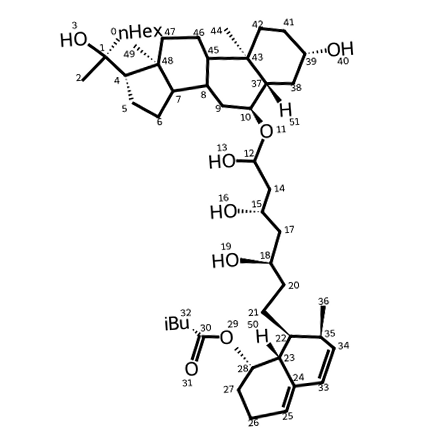 CCCCCC[C@](C)(O)[C@H]1CCC2C3C[C@H](OC(O)C[C@@H](O)C[C@H](O)CC[C@@H]4[C@@H]5C(=CCC[C@@H]5OC(=O)[C@@H](C)CC)C=C[C@@H]4C)[C@H]4C[C@@H](O)CC[C@]4(C)C3CC[C@@]21C